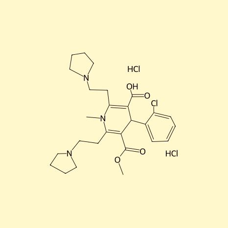 COC(=O)C1=C(CCN2CCCC2)N(C)C(CCN2CCCC2)=C(C(=O)O)C1c1ccccc1Cl.Cl.Cl